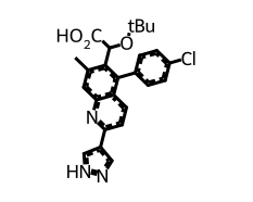 Cc1cc2nc(-c3cn[nH]c3)ccc2c(-c2ccc(Cl)cc2)c1C(OC(C)(C)C)C(=O)O